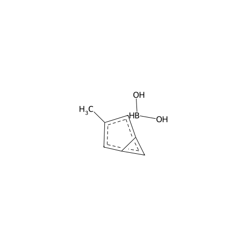 Cc1cc2cc-2c1.OBO